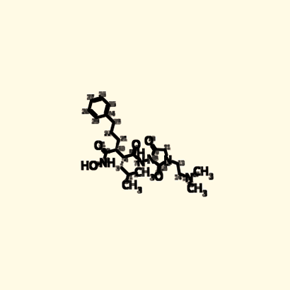 CC(C)C[C@@H](C(=O)NN1C(=O)CN(CCN(C)C)C1=O)[C@H](CCCc1ccccc1)C(=O)NO